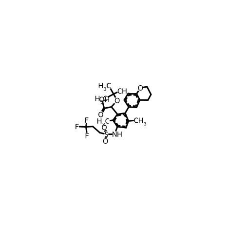 Cc1cc(NS(=O)(=O)CCC(F)(F)F)c(C)c(C(OC(C)(C)C)C(=O)O)c1-c1ccc2c(c1)CCCO2